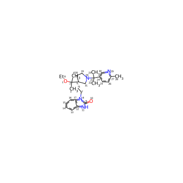 CCOC(C)(C)[C@@]1(CCn2c(=O)[nH]c3ccccc32)CCN(C(C)(C)c2ccc(C)nc2)C1